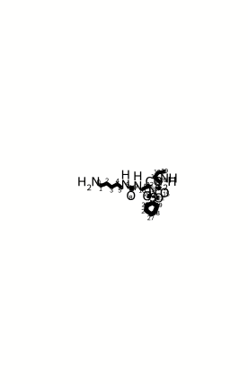 NCCCCCNC(=O)NC[C@@H](C(=O)O)N(C(=O)[C@@H]1CCCN1)S(=O)(=O)c1ccccc1